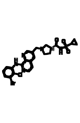 O=C(NS(=O)(=O)C1CC1)[C@@H]1CCN(Cc2cnc3c(Nc4cccc(Br)c4Cl)nccc3c2)C1